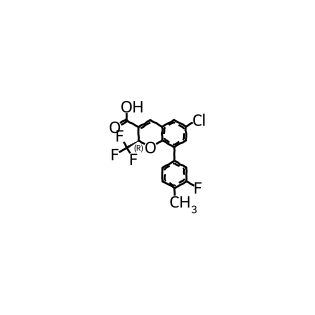 Cc1ccc(-c2cc(Cl)cc3c2O[C@@H](C(F)(F)F)C(C(=O)O)=C3)cc1F